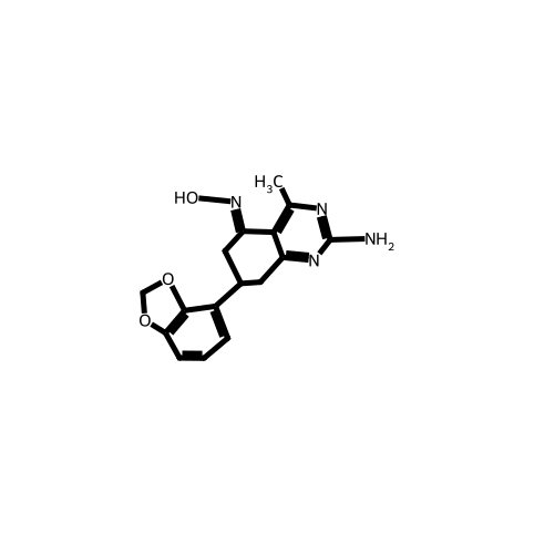 Cc1nc(N)nc2c1/C(=N/O)CC(c1cccc3c1OCO3)C2